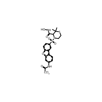 CC1(C)SCCN(S(=O)(=O)c2ccc3oc4cc(NC(=O)C(Cl)(Cl)Cl)ccc4c3c2)C1C(=O)NO